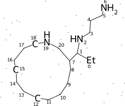 CCC(NCCCN)C1CCCCCCCCCCCNC1